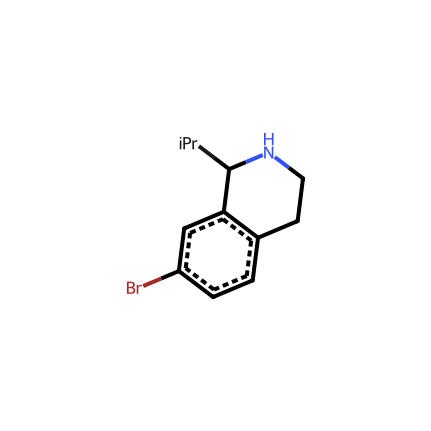 CC(C)C1NCCc2ccc(Br)cc21